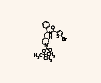 CC(C)(C)OC(=O)N1CCC(CC(NC(=O)c2ccc(Br)s2)c2ccccc2)CC1